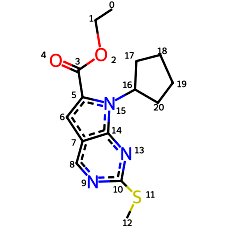 CCOC(=O)c1cc2cnc(SC)nc2n1C1CCCC1